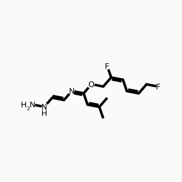 CC(C)=C/C(=N\C=C\NN)OC/C(F)=C\C=C/CF